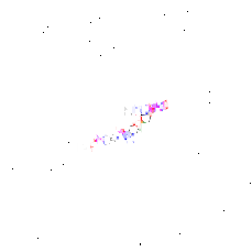 CC(C)(C)OC(=O)N1CCC2(CC1)CC(n1cnc3ccc(Oc4c(F)ccc(NS(=O)(=O)N5CCOCC5)c4C#N)cc3c1=O)C2